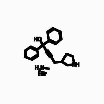 Br.CN.OC(C#CCC1CCNC1)(c1ccccc1)c1ccccc1